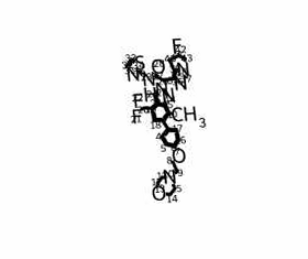 Cc1c(-c2ccc(OCCN3CCOCC3)cc2)cc(C(F)F)c2cn(C(C(=O)Nc3nccs3)c3ncn4c3C[C@@H](F)C4)nc12